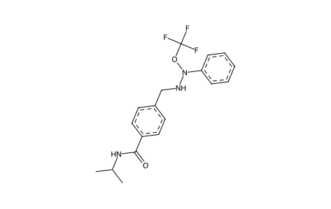 CC(C)NC(=O)c1ccc(CNN(OC(F)(F)F)c2ccccc2)cc1